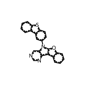 c1ccc2c(c1)oc1c2c2ncncc2n1-c1ccc2sc3ccccc3c2c1